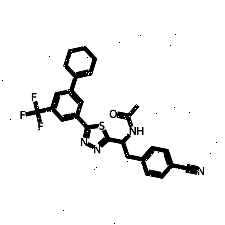 CC(=O)NC(Cc1ccc(C#N)cc1)c1nnc(-c2cc(C3=CCCCC3)cc(C(F)(F)F)c2)s1